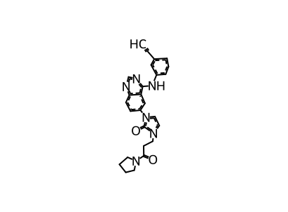 C#Cc1cccc(Nc2ncnc3ccc(-n4ccn(CCC(=O)N5CCCC5)c4=O)cc23)c1